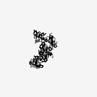 CC1CCN(C(=O)C(CCn2cccc2C#N)NS(=O)(=O)c2ccsc2)CC1.CC1CCN(C(=O)C(CCn2cccn2)NS(=O)(=O)c2cccc3[nH]ccc23)CC1.Cc1ccc(S(=O)(=O)NC(CCn2cccc2C#N)C(=O)N2CCC(C)CC2)cc1.Cc1cccc(S(N)(=O)=O)c1C(CCn1cccc1C#N)C(=O)N1CCC(C)CC1.Cc1ccccc1S(=O)(=O)NC(CCn1cccc1C#N)C(=O)N1CCC(C)CC1